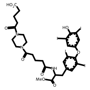 COC(=O)C(Cc1cc(I)c(Oc2cc(I)c(O)c(I)c2)c(I)c1)NC(=O)CCCC(=O)N1CCN(C(=O)CCCC(=O)O)CC1